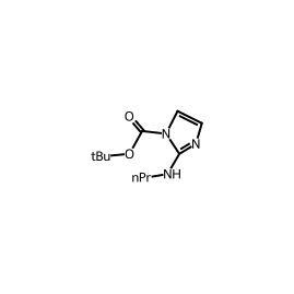 CCCNc1nccn1C(=O)OC(C)(C)C